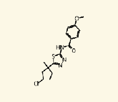 CCC(C)(CCCl)c1nnc(NC(=O)c2ccc(OC)cc2)s1